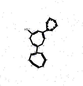 S/C1=C/C(c2ccccc2)=C\CC(/C2=C/C=C=CC=C=C2)=C\C1